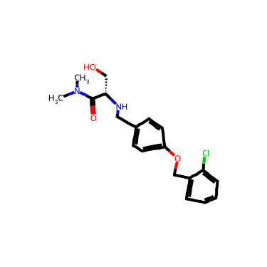 CN(C)C(=O)[C@H](CO)NCc1ccc(OCc2ccccc2Cl)cc1